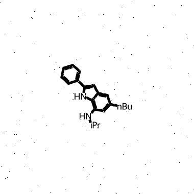 CCCCc1cc(NC(C)C)c2[nH]c(-c3ccccc3)cc2c1